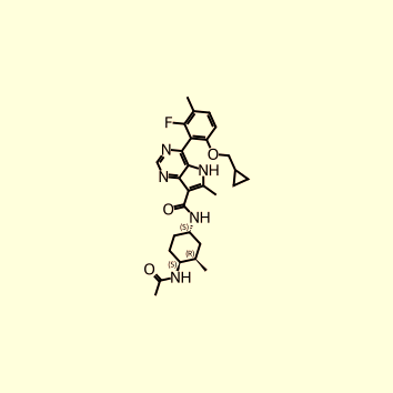 CC(=O)N[C@H]1CC[C@H](NC(=O)c2c(C)[nH]c3c(-c4c(OCC5CC5)ccc(C)c4F)ncnc23)C[C@H]1C